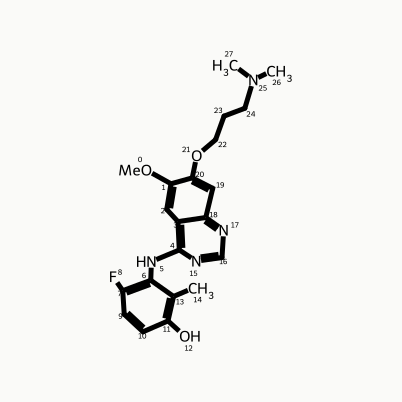 COc1cc2c(Nc3c(F)ccc(O)c3C)ncnc2cc1OCCCN(C)C